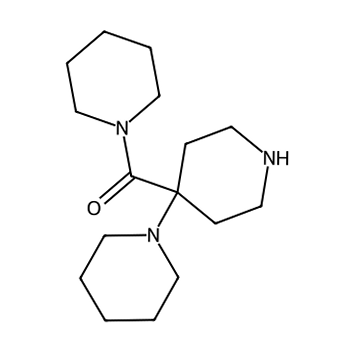 O=C(N1CCCCC1)C1(N2CCCCC2)CCNCC1